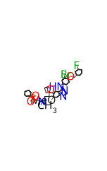 COc1cc2ncnc(Nc3ccc(OCc4cccc(F)c4)c(Br)c3)c2cc1C1(CCCN(C)CCS(=O)(=O)c2ccccc2)CC=CO1